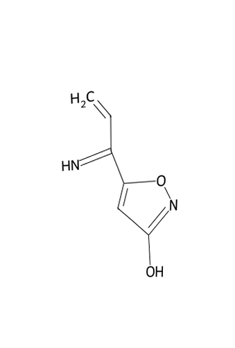 C=CC(=N)c1cc(O)no1